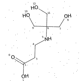 O=C(O)CCNC(CO)(CO)CO